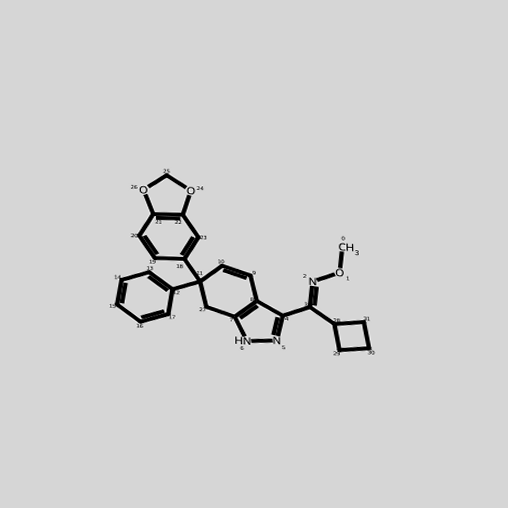 CON=C(c1n[nH]c2c1C=CC(c1ccccc1)(c1ccc3c(c1)OCO3)C2)C1CCC1